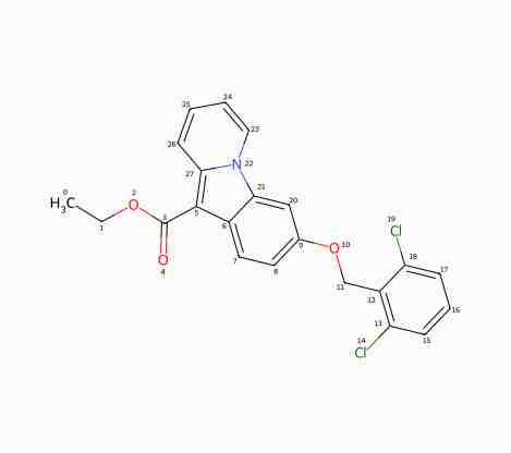 CCOC(=O)c1c2ccc(OCc3c(Cl)cccc3Cl)cc2n2ccccc12